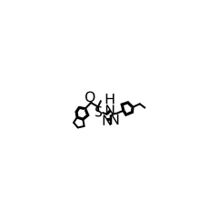 CCc1ccc(-c2nnc(SC(C)C(=O)c3ccc4c(c3)CCC4)[nH]2)cc1